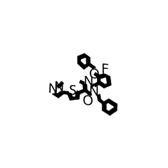 Cc1nc(-c2cccc(F)c2OCc2ccccc2)n(CCc2ccccc2)c(=O)c1-c1ccc(-c2ccnn2C)s1